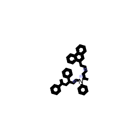 C=C(CC(/C=C/N(/C(C)=C/C=C\Cc1cc2ccccc2c2ccccc12)c1ccccc1)c1ccccc1)c1ccccc1